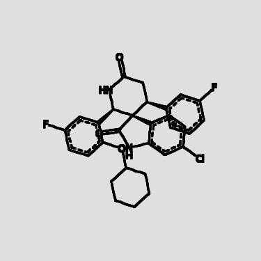 O=C1C[C@@H](c2cccc(F)c2)[C@]2(C(=O)Nc3cc(Cl)ccc32)[C@@H](c2cc(F)ccc2OC2CCCCC2)N1